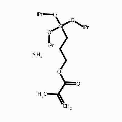 C=C(C)C(=O)OCCC[Si](OC(C)C)(OC(C)C)OC(C)C.[SiH4]